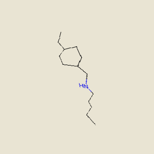 CCCCCNCC1CCC(CC)CC1